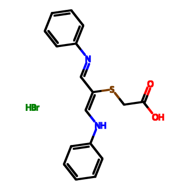 Br.O=C(O)CSC(C=Nc1ccccc1)=CNc1ccccc1